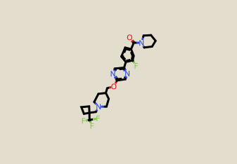 O=C(c1ccc(-c2cnc(OCC3CCN(CC4(C(F)(F)F)CCC4)CC3)cn2)c(F)c1)N1CCCCC1